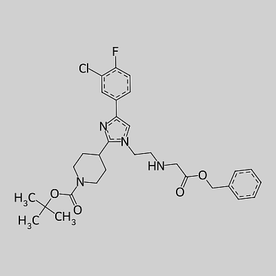 CC(C)(C)OC(=O)N1CCC(c2nc(-c3ccc(F)c(Cl)c3)cn2CCNCC(=O)OCc2ccccc2)CC1